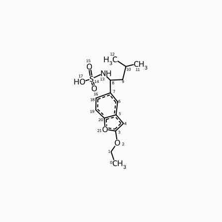 CCOc1cc2cc(C(CC(C)C)NS(=O)(=O)O)ccc2o1